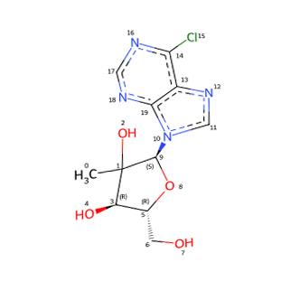 CC1(O)[C@H](O)[C@@H](CO)O[C@@H]1n1cnc2c(Cl)ncnc21